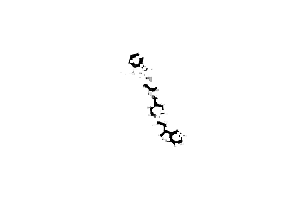 COc1ccccc1C(=O)NNC(=O)c1csc(C2CCN(C(=O)CC3C=Nc4ccccc43)CC2)n1